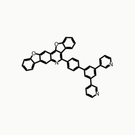 c1cncc(-c2cc(-c3ccc(-c4nc5cc6c(cc5c5oc7ccccc7c45)oc4ccccc46)cc3)cc(-c3cccnc3)c2)c1